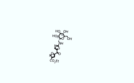 CCOC(=O)c1cc(C(=O)c2cnc(NC[C@H]3O[C@H](CO)[C@@H](O)[C@H](O)[C@@H]3O)s2)on1